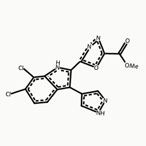 COC(=O)c1nnc(-c2[nH]c3c(Cl)c(Cl)ccc3c2-c2cn[nH]c2)o1